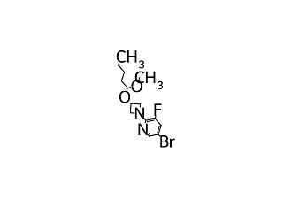 CCCCC(OC)OC1CN(c2ncc(Br)cc2F)C1